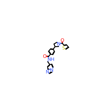 O=C(NCc1ccn2ccnc2c1)c1ccc(C2CCN(C(=O)c3cccs3)C2)cc1